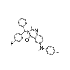 Cc1ccc(N(C)c2ccc3nc(C)n(C(c4ccccc4)c4ccc(F)cc4)c(=O)c3c2)cc1